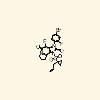 C=CCC1(S(=O)(=O)n2c(=O)n(-c3ccc(Br)cc3F)c3c(F)c(=O)n4c(c32)CCC4)CC1